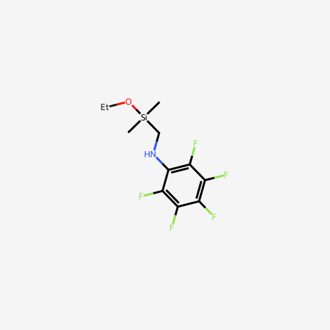 CCO[Si](C)(C)CNc1c(F)c(F)c(F)c(F)c1F